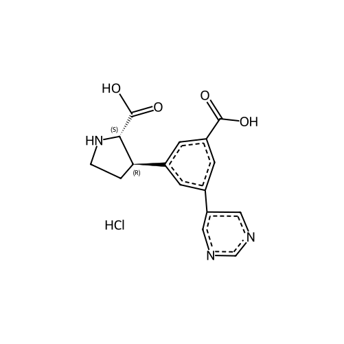 Cl.O=C(O)c1cc(-c2cncnc2)cc([C@H]2CCN[C@@H]2C(=O)O)c1